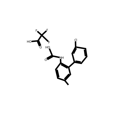 Cc1ccc(NC(=O)O)c(-c2cccc(Cl)c2)c1.O=C(O)C(F)(F)F